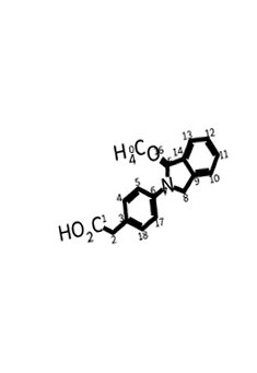 C.O=C(O)Cc1ccc(N2Cc3ccccc3C2=O)cc1